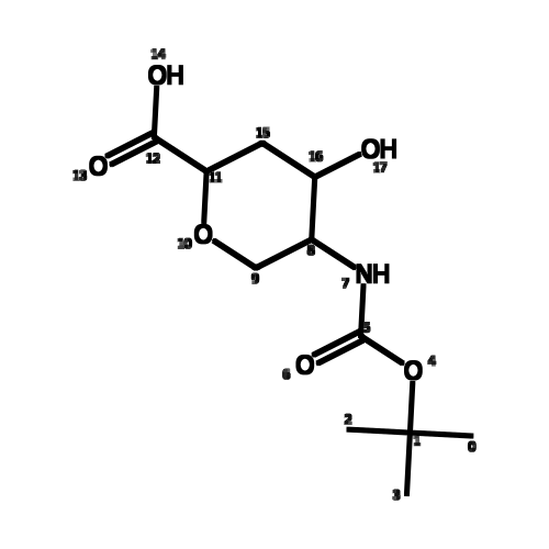 CC(C)(C)OC(=O)NC1COC(C(=O)O)CC1O